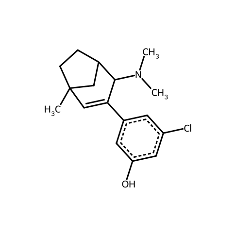 CN(C)C1C(c2cc(O)cc(Cl)c2)=CC2(C)CCC1C2